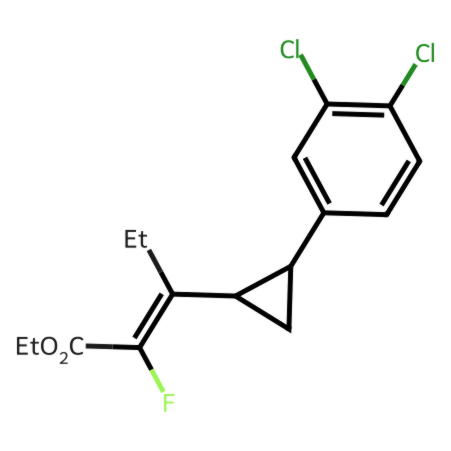 CCOC(=O)C(F)=C(CC)C1CC1c1ccc(Cl)c(Cl)c1